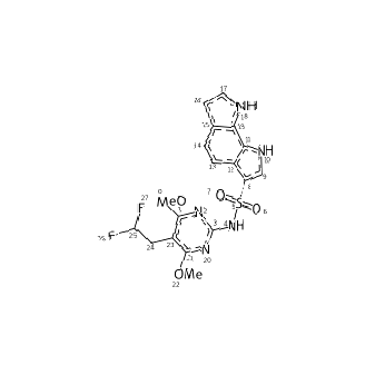 COc1nc(NS(=O)(=O)c2c[nH]c3c2ccc2cc[nH]c23)nc(OC)c1CC(F)F